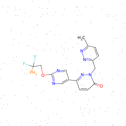 Cc1ccc(Cn2nc(-c3cnc(OCC(F)(F)P)nc3)ccc2=O)nn1